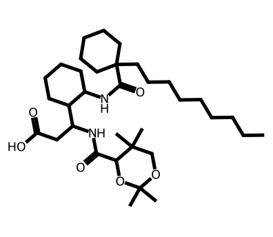 CCCCCCCCCC1(C(=O)NC2CCCCC2C(CC(=O)O)NC(=O)C2OC(C)(C)OCC2(C)C)CCCCC1